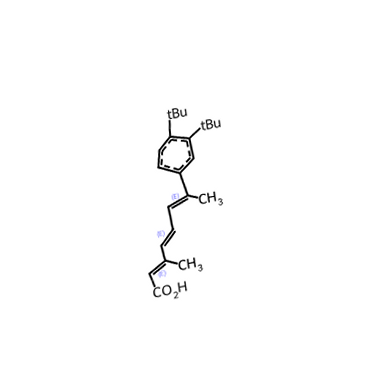 CC(/C=C/C=C(\C)c1ccc(C(C)(C)C)c(C(C)(C)C)c1)=C\C(=O)O